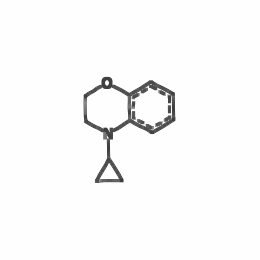 c1ccc2c(c1)OCCN2C1CC1